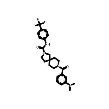 CN(C)c1cccc(C(=O)N2CCC3(CCN(C(=O)Nc4ccc(C(F)(F)F)cc4)C3)CC2)c1